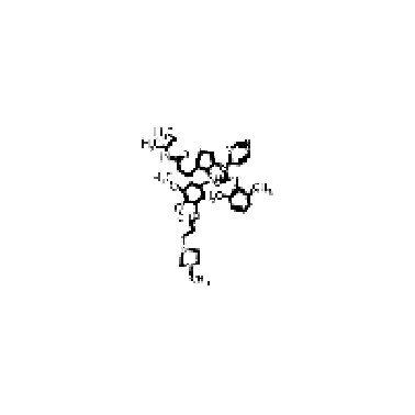 CCC(C)NC(=O)CCc1cccc(N(C(=O)Oc2c(C)cccc2C)c2ccncn2)c1Nc1cc(OC)c(OC)c(OCCCN2CCN(C)CC2)c1